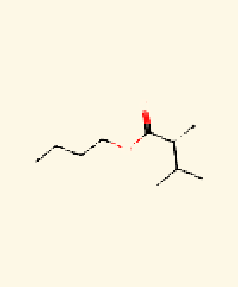 CCCCOC(=O)[C@@H](C)C(C)C